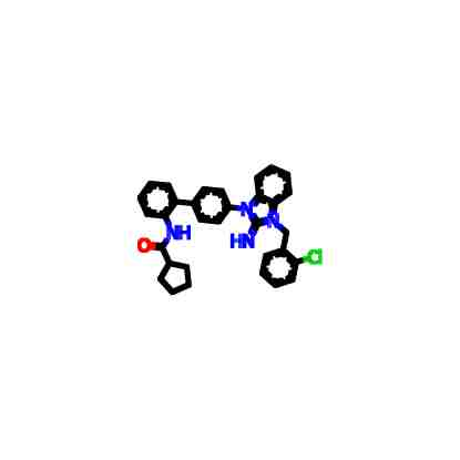 N=c1n(Cc2ccccc2Cl)c2ccccc2n1-c1ccc(-c2ccccc2NC(=O)C2CCCC2)cc1